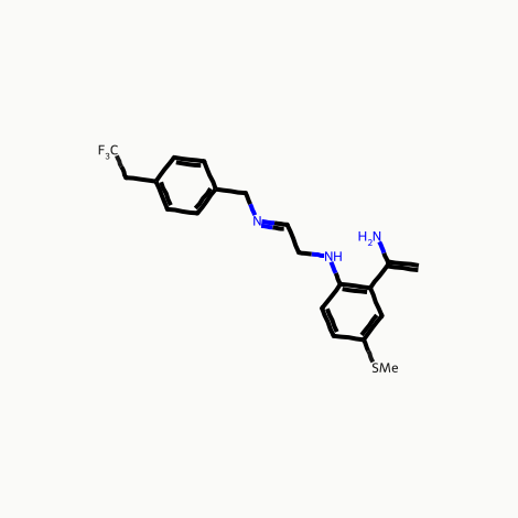 C=C(N)c1cc(SC)ccc1NC/C=N/Cc1ccc(CC(F)(F)F)cc1